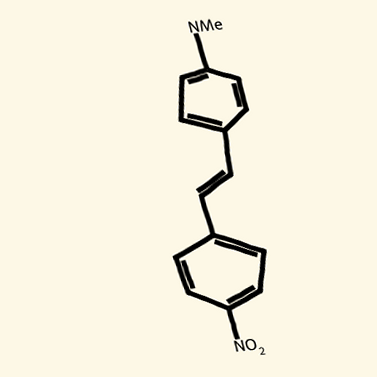 CNc1ccc(C=Cc2ccc([N+](=O)[O-])cc2)cc1